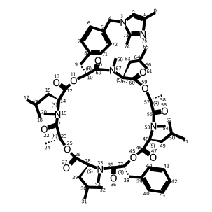 Cc1cn(Cc2ccc(C[C@H]3OC(=O)[C@H](CC(C)C)N(C)C(=O)[C@@H](C)OC(=O)[C@H](CC(C)C)N(C)C(=O)[C@@H](Cc4ccccc4)OC(=O)[C@H](CC(C)C)N(C)C(=O)[C@@H](C)OC(=O)[C@H](CC(C)C)N(C)C3=O)cc2)c(C)n1